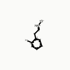 [O-][NH+]=CCc1ccccc1I